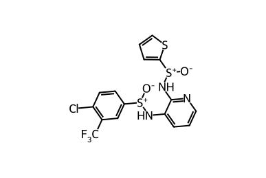 [O-][S+](Nc1cccnc1N[S+]([O-])c1cccs1)c1ccc(Cl)c(C(F)(F)F)c1